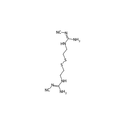 N#CN=C(N)NCCSSCCNC(N)=NC#N